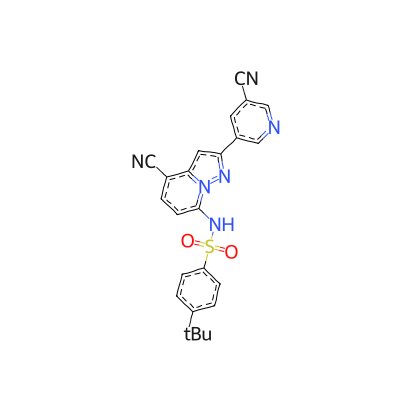 CC(C)(C)c1ccc(S(=O)(=O)Nc2ccc(C#N)c3cc(-c4cncc(C#N)c4)nn23)cc1